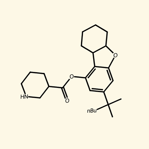 CCCCC(C)(C)c1cc(OC(=O)C2CCCNC2)c2c(c1)OC1CCCCC21